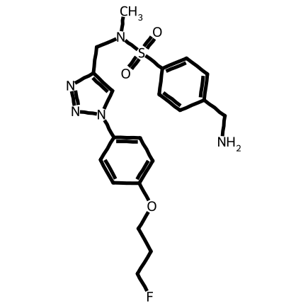 CN(Cc1cn(-c2ccc(OCCCF)cc2)nn1)S(=O)(=O)c1ccc(CN)cc1